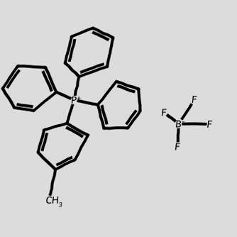 Cc1ccc([P+](c2ccccc2)(c2ccccc2)c2ccccc2)cc1.F[B-](F)(F)F